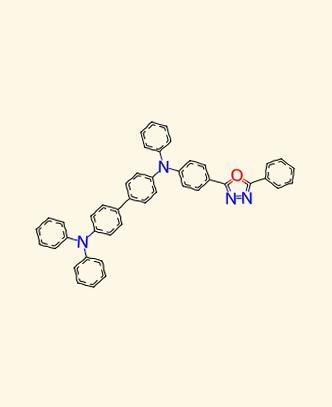 c1ccc(-c2nnc(-c3ccc(N(c4ccccc4)c4ccc(-c5ccc(N(c6ccccc6)c6ccccc6)cc5)cc4)cc3)o2)cc1